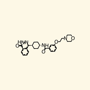 O=C(N[C@H]1CC[C@H](c2n[nH]c(=O)c3ccccc32)CC1)c1cccc(OCCN2CCOCC2)c1